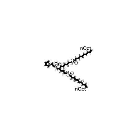 CCCCCCCC/C=C\CCCCCCCC(=O)OCCCCCC(O)C(CCCCOC(=O)CCCCCCC/C=C\CCCCCCCC)CNCCN1CCCC1